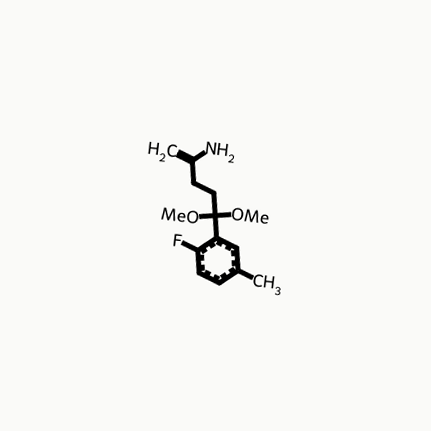 C=C(N)CCC(OC)(OC)c1cc(C)ccc1F